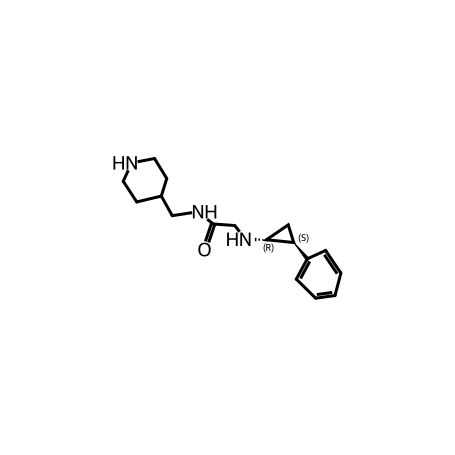 O=C(CN[C@@H]1C[C@H]1c1ccccc1)NCC1CCNCC1